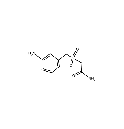 NC(=O)CS(=O)(=O)Cc1cccc(N)c1